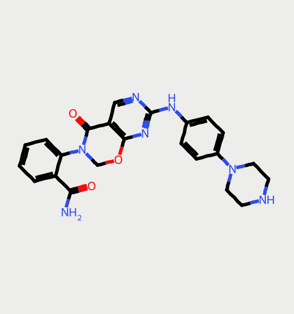 NC(=O)c1ccccc1N1COc2nc(Nc3ccc(N4CCNCC4)cc3)ncc2C1=O